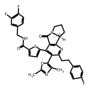 Cc1nc(C)c(-c2c(CCc3ccc(F)cc3)nc3c(c2-c2ccc(C(=O)NCc4ccc(F)c(F)c4)s2)C(=O)N2CCC[C@@H]32)o1